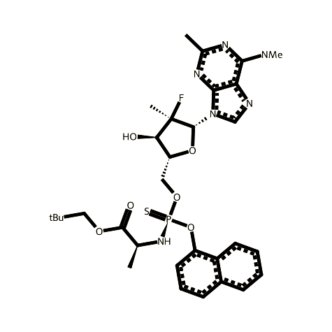 CNc1nc(C)nc2c1ncn2[C@@H]1O[C@H](CO[P@](=S)(N[C@@H](C)C(=O)OCC(C)(C)C)Oc2cccc3ccccc23)[C@@H](O)[C@@]1(C)F